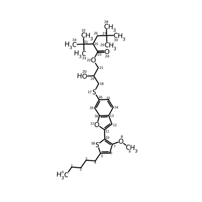 CCCCCc1cc(OC)c(-c2cc3ccc(SCC(O)COC(=O)C(CC(C)(C)C)C(C)(C)C)cc3o2)s1